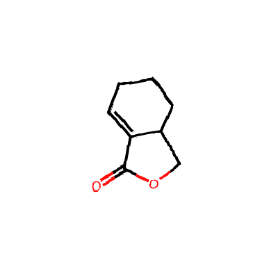 O=C1OCC2CCCC=C12